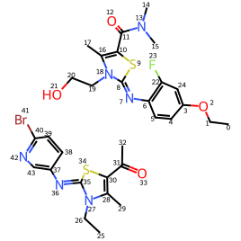 CCOc1ccc(/N=c2\sc(C(=O)N(C)C)c(C)n2CCO)c(F)c1.CCn1c(C)c(C(C)=O)s/c1=N\c1ccc(Br)nc1